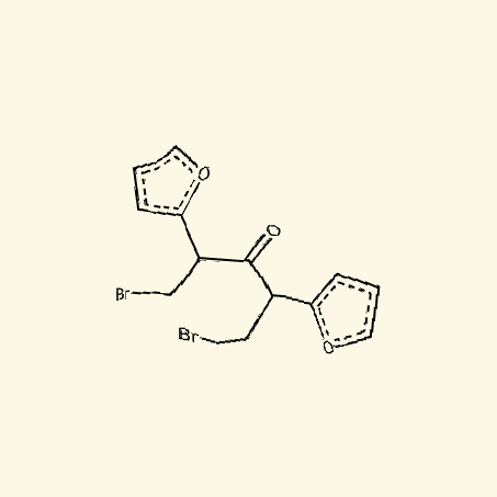 O=C(C(CBr)c1ccco1)C(CBr)c1ccco1